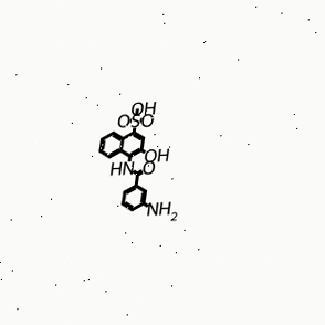 Nc1cccc(C(=O)Nc2c(O)cc(S(=O)(=O)O)c3ccccc23)c1